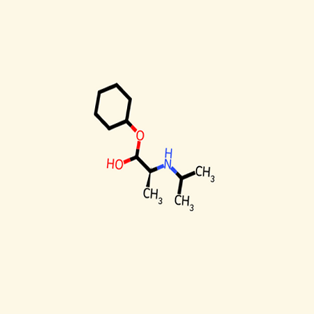 CC(C)N[C@@H](C)C(O)OC1CCCCC1